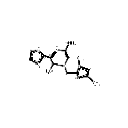 Cc1cn(C)c(CN2C=C(N)N=C(c3ncco3)C2C)n1